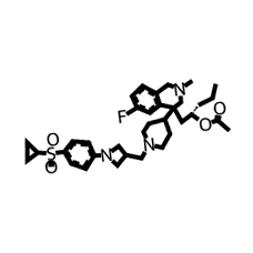 CCC[C@@H](CC1(C2CCN(CC3CN(c4ccc(S(=O)(=O)C5CC5)cc4)C3)CC2)CN(C)Cc2ccc(F)cc21)OC(C)=O